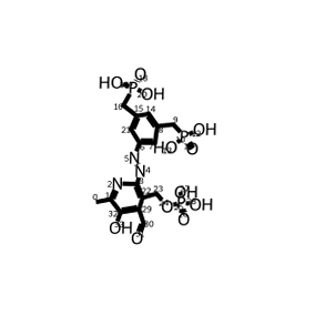 Cc1nc(N=Nc2cc(CP(=O)(O)O)cc(CP(=O)(O)O)c2)c(COP(=O)(O)O)c(C=O)c1O